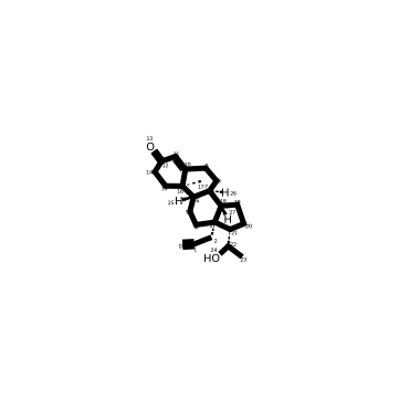 C#CC[C@]12CC[C@H]3[C@@H](CCC4=CC(=O)CC[C@@]43C)[C@@H]1CC[C@@H]2C(C)O